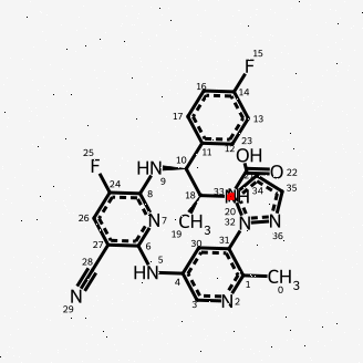 Cc1ncc(Nc2nc(N[C@@H](c3ccc(F)cc3)[C@H](C)NC(=O)O)c(F)cc2C#N)cc1-n1nccn1